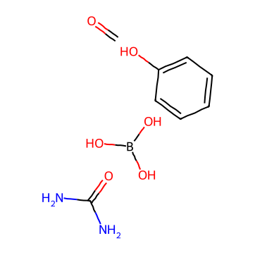 C=O.NC(N)=O.OB(O)O.Oc1ccccc1